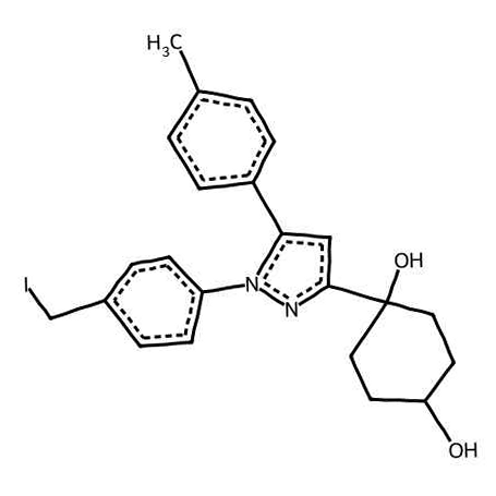 Cc1ccc(-c2cc(C3(O)CCC(O)CC3)nn2-c2ccc(CI)cc2)cc1